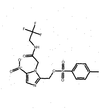 Cc1ccc(S(=O)(=O)OCc2ncc([N+](=O)[O-])n2CC(=O)NCC(F)(F)F)cc1